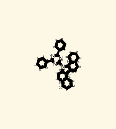 c1ccc(-c2nc(-c3ccccc3)nc(-n3c4ccc5ccccc5c4c4ccc5ccccc5c43)n2)cc1